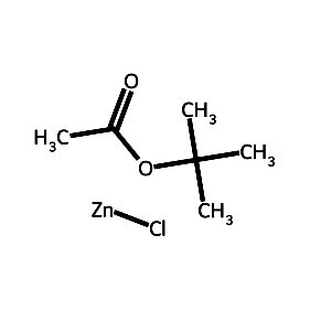 CC(=O)OC(C)(C)C.[Cl][Zn]